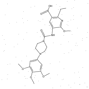 CCc1nc(OC)c(NC(=O)N2CCN(c3cc(OC)c(OC)c(OC)c3)CC2)cc1C(=O)O